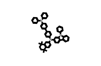 CC1(C)CCC(C)(C)c2cc(N(c3ccc(-c4ccc(N(c5ccccc5)c5ccccc5)cc4)cc3)c3ccc4c5ccccc5n(-c5ccccc5)c4c3)ccc21